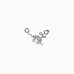 Cc1nc(PC(=O)c2ccncc2)sc1C(=O)NCCCc1ccccc1